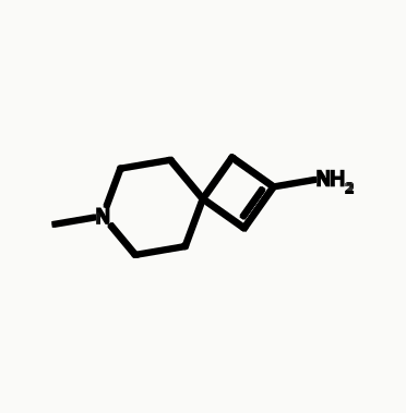 CN1CCC2(C=C(N)C2)CC1